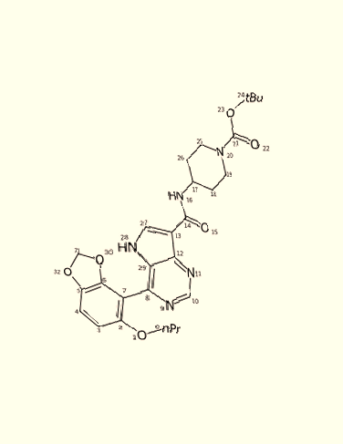 CCCOc1ccc2c(c1-c1ncnc3c(C(=O)NC4CCN(C(=O)OC(C)(C)C)CC4)c[nH]c13)OCO2